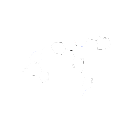 C#Cc1cnc(C[C@H]2CC[C@H](C(C(=O)NCc3ccccc3)c3ccc(-c4ccn(C)c4)cc3)CC2)nc1C1=CC=CC1C